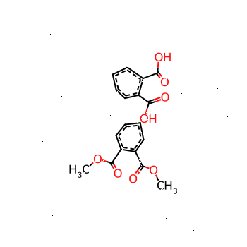 COC(=O)c1ccccc1C(=O)OC.O=C(O)c1ccccc1C(=O)O